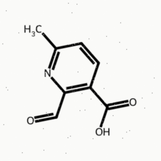 Cc1ccc(C(=O)O)c(C=O)n1